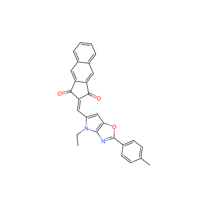 CCn1c(C=C2C(=O)c3cc4ccccc4cc3C2=O)cc2oc(-c3ccc(C)cc3)nc21